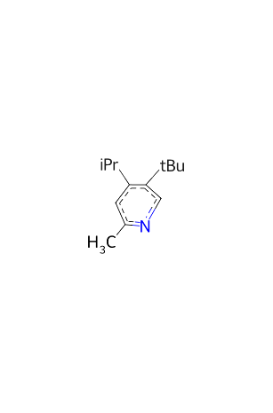 Cc1cc(C(C)C)c(C(C)(C)C)cn1